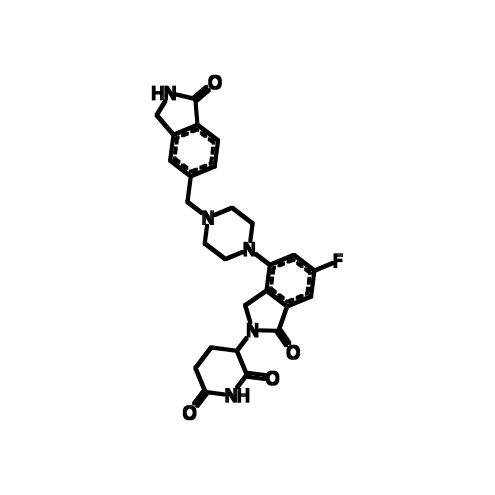 O=C1CCC(N2Cc3c(cc(F)cc3N3CCN(Cc4ccc5c(c4)CNC5=O)CC3)C2=O)C(=O)N1